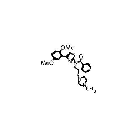 COc1ccc(OC)c(-c2csc(N(CCCN3CCN(C)CC3)C(=O)c3ccccc3)n2)c1